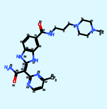 CCN1CCN(CCCNC(=O)c2ccc3c(c2)N/C(=C(/C(N)=O)c2nccc(C(F)(F)F)n2)N3)CC1